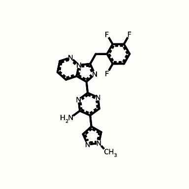 Cn1cc(-c2cnc(-c3nc(Cc4c(F)ccc(F)c4F)n4ncccc34)nc2N)cn1